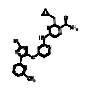 CCc1nc(-c2cccc(C)n2)c(Oc2ccnc(Nc3ccc(C(N)=O)c(CC4CC4)n3)c2)s1